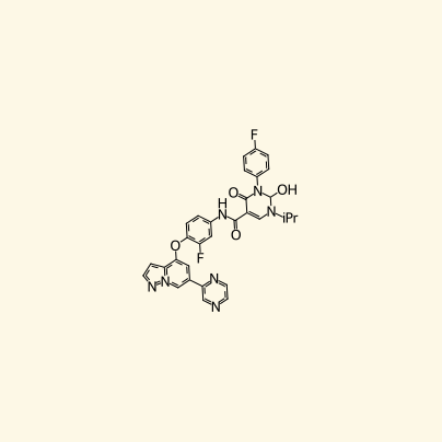 CC(C)N1C=C(C(=O)Nc2ccc(Oc3cc(-c4cnccn4)cn4nccc34)c(F)c2)C(=O)N(c2ccc(F)cc2)C1O